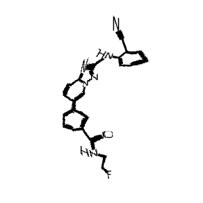 N#Cc1ccccc1Nc1nc2ccc(-c3cccc(C(=O)NCCF)c3)cn2n1